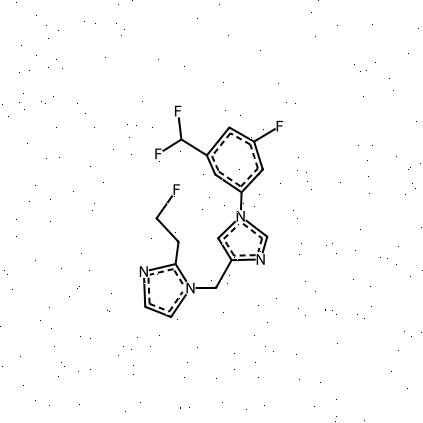 FCCc1nccn1Cc1cn(-c2cc(F)cc(C(F)F)c2)cn1